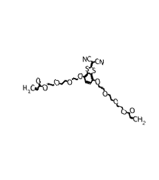 C=CC(=O)OCCOCCOCCOc1ccc(OCCOCCOCCOC(=O)C=C)c2c1SC(=C(C#N)C#N)S2